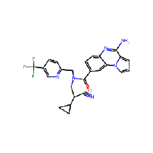 N#CC(CN(Cc1ccc(C(F)(F)F)cn1)C(=O)c1ccc2nc(N)c3cccn3c2c1)C1CC1